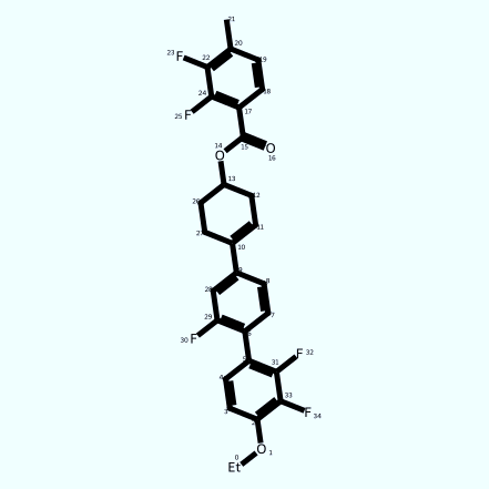 CCOc1ccc(-c2ccc(C3=CCC(OC(=O)c4ccc(C)c(F)c4F)CC3)cc2F)c(F)c1F